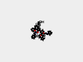 CC1=C2C(CC1)C1(C)OC(C3CCCC(C4CC5C(=C4C)C(OC(=O)/C=C/c4ccccc4)C4(C6CCCCC6)CC(OC(=O)CO)C5(C)O4)C3)(CC1O)C2OC(=O)/C=C/c1ccccc1